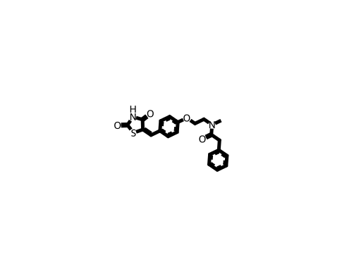 CN(CCOc1ccc(C=C2SC(=O)NC2=O)cc1)C(=O)Cc1ccccc1